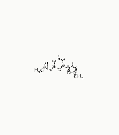 CNCc1cccc(-c2csc(C)n2)c1